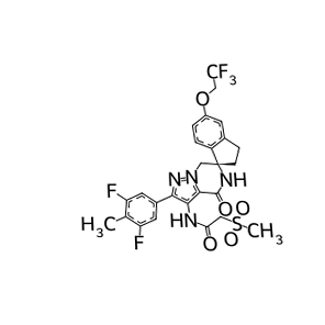 Cc1c(F)cc(-c2nn3c(c2NC(=O)CS(C)(=O)=O)C(=O)N[C@]2(CCc4cc(OCC(F)(F)F)ccc42)C3)cc1F